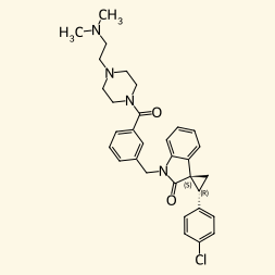 CN(C)CCN1CCN(C(=O)c2cccc(CN3C(=O)[C@]4(C[C@@H]4c4ccc(Cl)cc4)c4ccccc43)c2)CC1